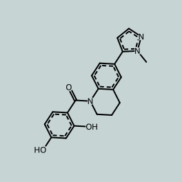 Cn1nccc1-c1ccc2c(c1)CCCN2C(=O)c1ccc(O)cc1O